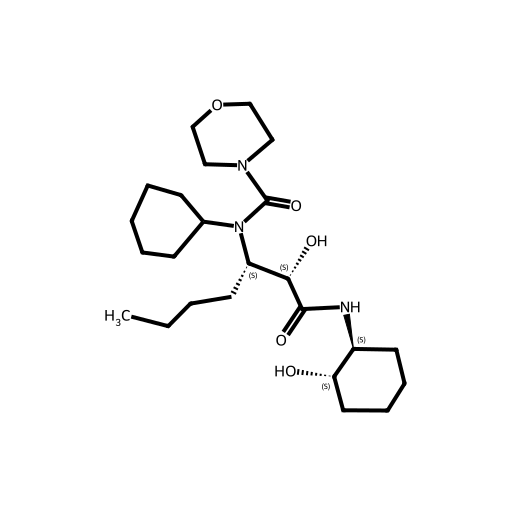 CCCC[C@@H]([C@H](O)C(=O)N[C@H]1CCCC[C@@H]1O)N(C(=O)N1CCOCC1)C1CCCCC1